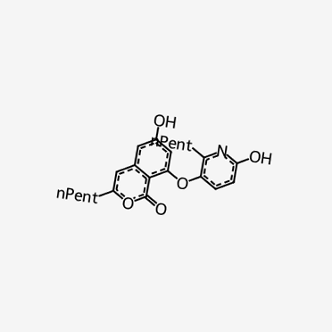 CCCCCc1cc2cc(O)cc(Oc3ccc(O)nc3CCCCC)c2c(=O)o1